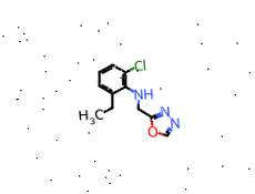 CCc1cccc(Cl)c1NCc1nnco1